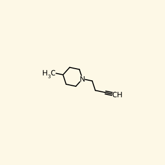 C#CCCN1CCC(C)CC1